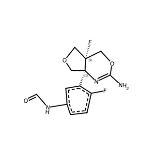 NC1=N[C@@]2(c3cc(NC=O)ccc3F)COC[C@@]2(F)CO1